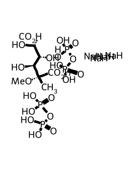 CO[C@@](C)(C(=O)O)[C@@H](O)[C@@H](O)[C@H](O)C(=O)O.O=P(O)(O)OP(=O)(O)O.O=P(O)(O)OP(=O)(O)O.[NaH].[NaH].[NaH].[NaH]